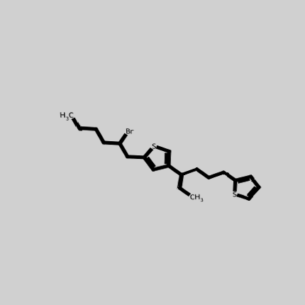 CCCCC(Br)Cc1cc(C(CC)CCCc2cccs2)cs1